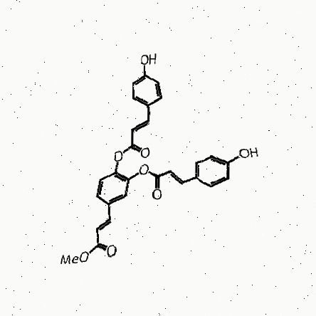 COC(=O)/C=C/c1ccc(OC(=O)/C=C/c2ccc(O)cc2)c(OC(=O)/C=C/c2ccc(O)cc2)c1